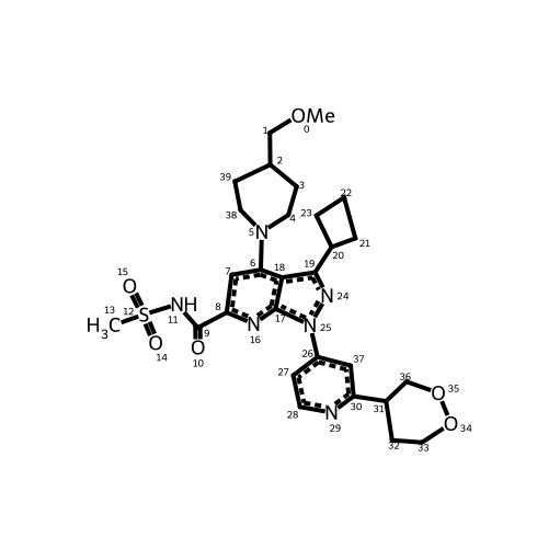 COCC1CCN(c2cc(C(=O)NS(C)(=O)=O)nc3c2c(C2CCC2)nn3-c2ccnc(C3CCOOC3)c2)CC1